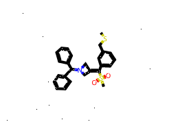 CSCc1cccc(C(=C2CN(C(c3ccccc3)c3ccccc3)C2)S(C)(=O)=O)c1